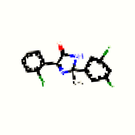 C[C@@]1(c2cc(F)cc(F)c2)N=C(c2ccccc2F)C(=O)N1